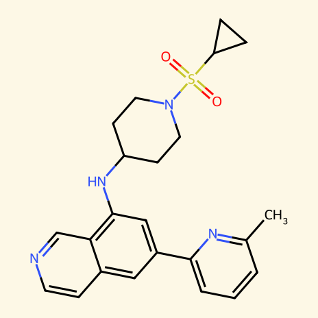 Cc1cccc(-c2cc(NC3CCN(S(=O)(=O)C4CC4)CC3)c3cnccc3c2)n1